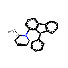 O=C(O)[C@H]1CC=CCN1c1cccc2c1C(c1ccccc1)c1ccccc1-2